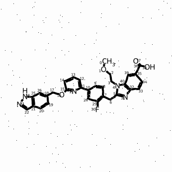 COCCn1c(Cc2ccc(-c3cccc(OCc4ccc5cn[nH]c5c4)n3)cc2F)nc2ccc(C(=O)O)cc21